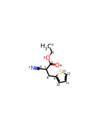 CCOC(=O)C(C#N)Cc1cccs1